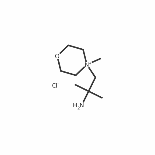 CC(C)(N)C[N+]1(C)CCOCC1.[Cl-]